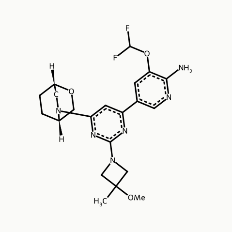 COC1(C)CN(c2nc(-c3cnc(N)c(OC(F)F)c3)cc(N3C[C@@H]4CC[C@H]3CO4)n2)C1